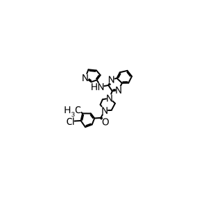 Cc1cc(C(=O)N2CCN(c3nc4ccccc4nc3Nc3cccnc3)CC2)ccc1Cl